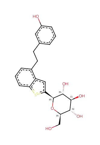 OC[C@H]1O[C@@H](c2cc3c(CCc4cccc(O)c4)cccc3s2)[C@H](O)[C@@H](O)[C@@H]1O